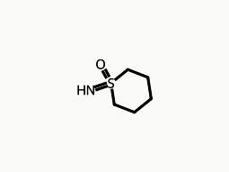 N=S1(=O)CCCCC1